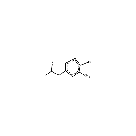 Cc1cc(OC(F)F)ccc1Br